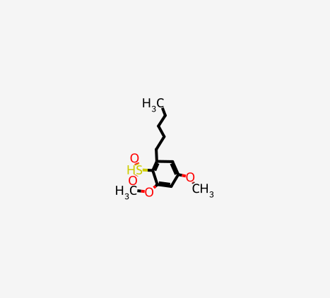 CCCCCc1cc(OC)cc(OC)c1[SH](=O)=O